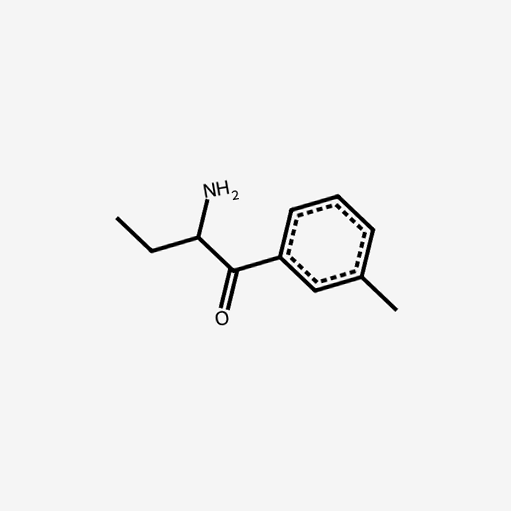 CCC(N)C(=O)c1cccc(C)c1